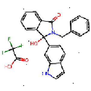 O=C(O)C(F)(F)F.O=C1c2ccccc2C(O)(c2ccc3cc[nH]c3c2)N1Cc1ccccc1